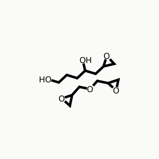 C(OCC1CO1)C1CO1.OCCCC(O)CC1CO1